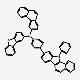 c1ccc(-n2c3cc(-c4ccc(N(c5ccc6ccc7ccccc7c6c5)c5ccc6sc7ccccc7c6c5)cc4)ccc3c3ccc4ccccc4c32)cc1